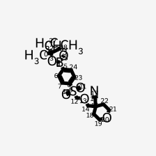 CC1(C)OB(c2ccc(S(=O)(=O)COCC3(C#N)CCOCC3)cc2)OC1(C)C